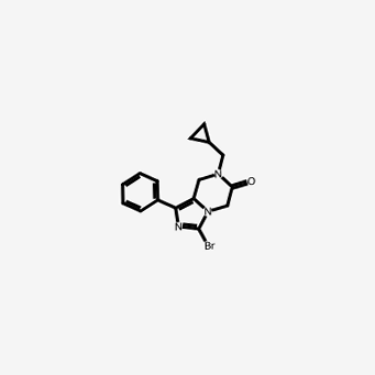 O=C1Cn2c(Br)nc(-c3ccccc3)c2CN1CC1CC1